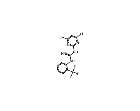 N=C(Nc1nc(Cl)cc(Cl)n1)Nc1ccccc1C(F)(F)F